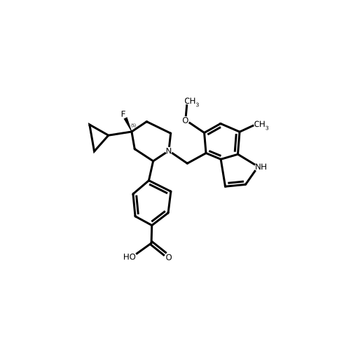 COc1cc(C)c2[nH]ccc2c1CN1CC[C@@](F)(C2CC2)CC1c1ccc(C(=O)O)cc1